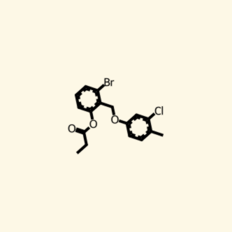 CCC(=O)Oc1cccc(Br)c1COc1ccc(C)c(Cl)c1